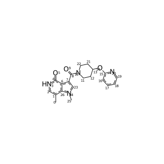 Cc1c[nH]c(=O)c2c(C(=O)N3CCC(Oc4ccccn4)CC3)cn(C)c12